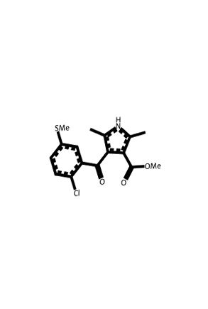 COC(=O)c1c(C)[nH]c(C)c1C(=O)c1cc(SC)ccc1Cl